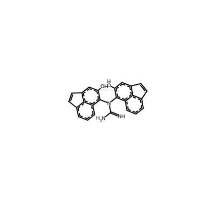 N=C(N)N(c1c(O)cc2c3c(cccc13)C=C2)c1c(O)cc2c3c(cccc13)C=C2